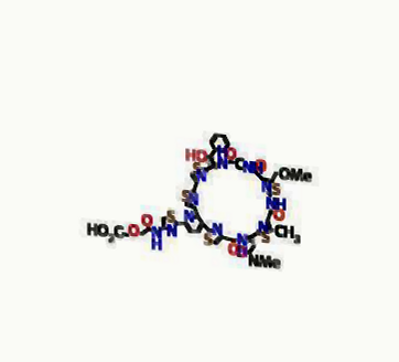 CNC(=O)C[C@@H]1NC(=O)c2csc(n2)-c2ccc(-c3nc(NC(=O)COCC(=O)O)cs3)nc2-c2csc(n2)-c2csc(n2)[C@H]([C@@H](O)c2ccccc2)NC(=O)CNC(=O)c2nc(sc2COC)NC(=O)c2nc1sc2C